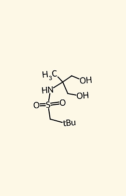 CC(C)(C)CS(=O)(=O)NC(C)(CO)CO